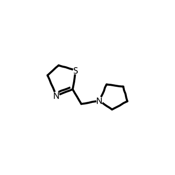 C1CCN(CC2=NCCS2)C1